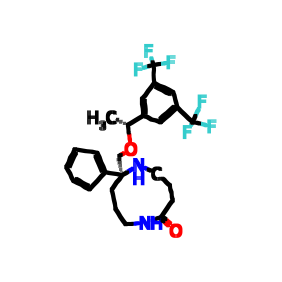 C[C@@H](OC[C@@]1(c2ccccc2)CCCNC(=O)CCCN1)c1cc(C(F)(F)F)cc(C(F)(F)F)c1